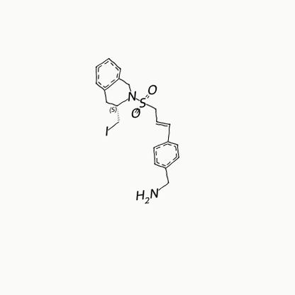 NCc1ccc(C=CCS(=O)(=O)N2Cc3ccccc3C[C@H]2CI)cc1